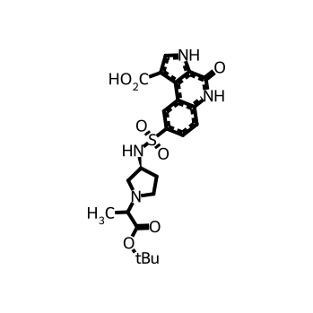 CC(C(=O)OC(C)(C)C)N1CC[C@H](NS(=O)(=O)c2ccc3[nH]c(=O)c4[nH]cc(C(=O)O)c4c3c2)C1